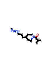 CNNCCCC1CCN(C(=O)C(C)C)CC1